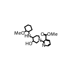 COC(=O)c1cccnc1N1CCC(NC2CCCCC2OC)C(O)C1